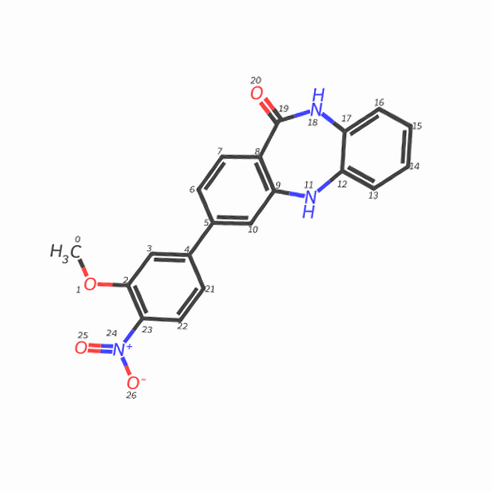 COc1cc(-c2ccc3c(c2)Nc2ccccc2NC3=O)ccc1[N+](=O)[O-]